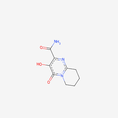 NC(=O)c1nc2n(c(=O)c1O)CCCC2